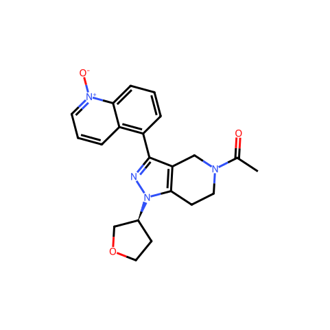 CC(=O)N1CCc2c(c(-c3cccc4c3ccc[n+]4[O-])nn2[C@H]2CCOC2)C1